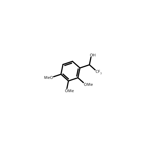 COc1ccc(C(O)C(F)(F)F)c(OC)c1OC